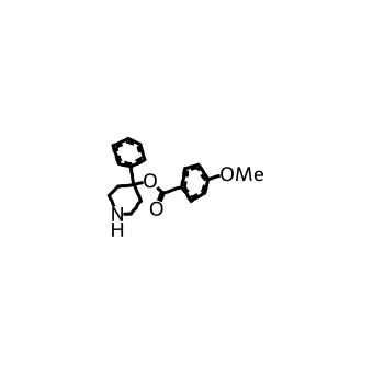 COc1ccc(C(=O)OC2(c3ccccc3)CCNCC2)cc1